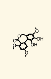 COc1cc(OC)c2c(c1)-c1c(cc(OC)c(O)c1O)COC2=O